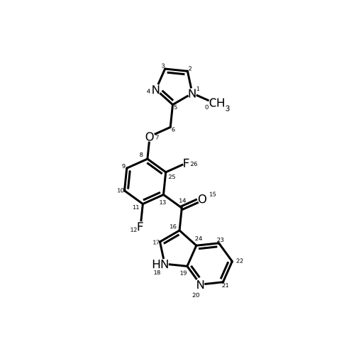 Cn1ccnc1COc1ccc(F)c(C(=O)c2c[nH]c3ncccc23)c1F